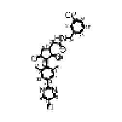 Cc1cc(-c2ncc(Cl)cn2)cc(C)c1C1C(=O)CC(CC(=O)NCc2cccc(Cl)c2)C1=O